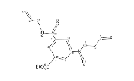 C=CCOC(=O)c1cc(C(=O)OCC)cc(C(=O)OCC=C)c1